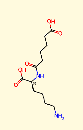 NCCCC[C@H](NC(=O)CCCCC(=O)O)C(=O)O